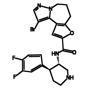 O=C(N[C@@H]1CNCC[C@H]1c1ccc(F)c(F)c1)c1cc2c(o1)CCCn1ncc(Br)c1-2